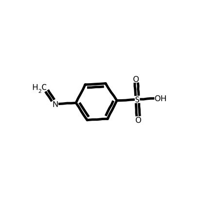 C=Nc1ccc(S(=O)(=O)O)cc1